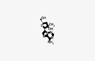 C[C@@]1(O)C[C@@H](CO)O[C@H]1c1cnc2c(N)ncnn12